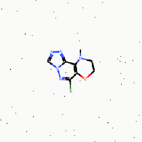 CN1CCOc2c(Cl)nn3cnnc3c21